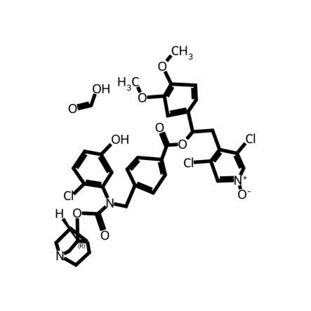 COc1ccc(C(Cc2c(Cl)c[n+]([O-])cc2Cl)OC(=O)c2ccc(CN(C(=O)O[C@H]3CN4CCC3CC4)c3cc(O)ccc3Cl)cc2)cc1OC.O=CO